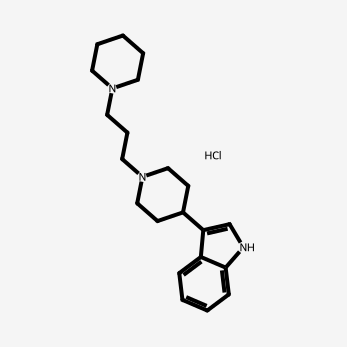 Cl.c1ccc2c(C3CCN(CCCN4CCCCC4)CC3)c[nH]c2c1